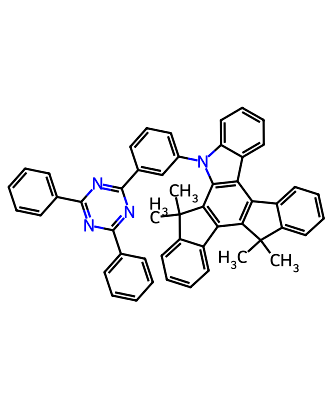 CC1(C)c2ccccc2-c2c1c1c(c3c2c2ccccc2n3-c2cccc(-c3nc(-c4ccccc4)nc(-c4ccccc4)n3)c2)C(C)(C)c2ccccc2-1